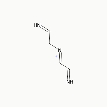 N=C/C=N/CC=N